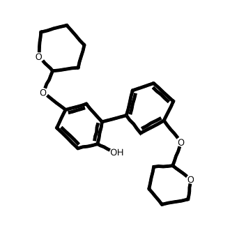 Oc1ccc(OC2CCCCO2)cc1-c1[c]c(OC2CCCCO2)ccc1